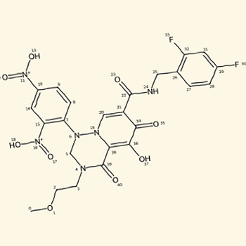 COCCN1CN(c2ccc([N+](=O)O)cc2[N+](=O)O)n2cc(C(=O)NCc3ccc(F)cc3F)c(=O)c(O)c2C1=O